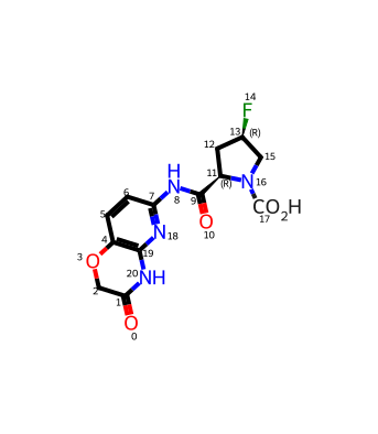 O=C1COc2ccc(NC(=O)[C@H]3C[C@@H](F)CN3C(=O)O)nc2N1